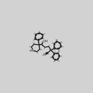 N#CC(CCC(O)C1(c2ccccc2)CCNCC1)(c1ccccc1)c1ccccc1